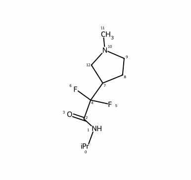 CC(C)NC(=O)C(F)(F)C1CCN(C)C1